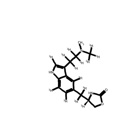 [2H]c1[nH]c2c([2H])c([2H])c(C([2H])([2H])[C@@]3([2H])COC(=O)N3)c([2H])c2c1C([2H])([2H])C([2H])([2H])N(C)C([2H])([2H])[2H]